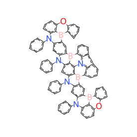 c1ccc(N2c3cc4c(cc3B3c5ccccc5Oc5cccc2c53)B2c3c(cc5c6c3-n3c7c2cccc7c2cccc(c23)B6c2cc3c(cc2N5c2ccccc2)N(c2ccccc2)c2cccc5c2B3c2ccccc2O5)N4c2ccccc2)cc1